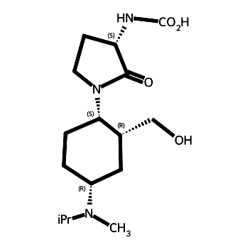 CC(C)N(C)[C@@H]1CC[C@H](N2CC[C@H](NC(=O)O)C2=O)[C@H](CO)C1